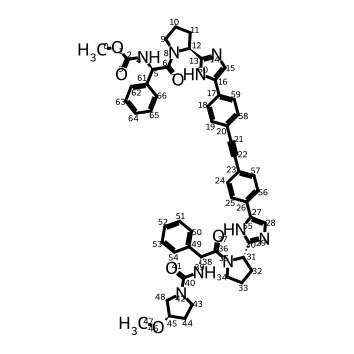 COC(=O)N[C@@H](C(=O)N1CCC[C@H]1c1ncc(-c2ccc(C#Cc3ccc(-c4cnc([C@@H]5CCCN5C(=O)[C@H](NC(=O)N5CC[C@H](OC)C5)c5ccccc5)[nH]4)cc3)cc2)[nH]1)c1ccccc1